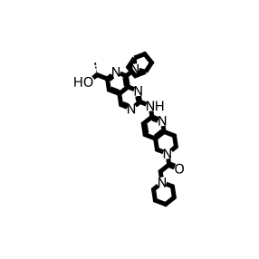 C[C@@H](O)c1cc2cnc(Nc3ccc4c(n3)CCN(C(=O)CN3CCCCC3)C4)nc2c(N2C3CCC2CC3)n1